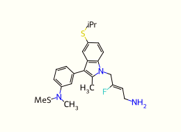 CSN(C)c1cccc(-c2c(C)n(C/C(F)=C/CN)c3ccc(SC(C)C)cc23)c1